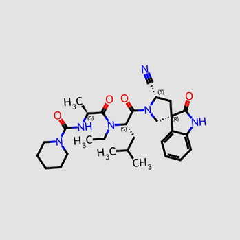 CCN(C(=O)[C@H](C)NC(=O)N1CCCCC1)[C@@H](CC(C)C)C(=O)N1C[C@]2(C[C@H]1C#N)C(=O)Nc1ccccc12